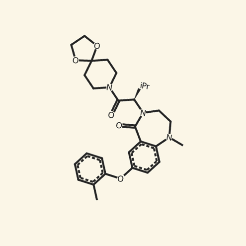 Cc1ccccc1Oc1ccc2c(c1)C(=O)N([C@@H](C(=O)N1CCC3(CC1)OCCO3)C(C)C)CCN2C